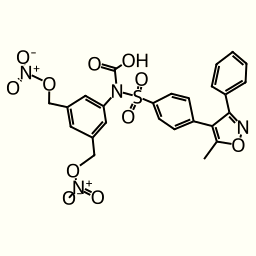 Cc1onc(-c2ccccc2)c1-c1ccc(S(=O)(=O)N(C(=O)O)c2cc(CO[N+](=O)[O-])cc(CO[N+](=O)[O-])c2)cc1